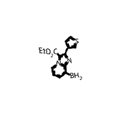 Bc1cccn2c(C(=O)OCC)c(-c3ccsc3)nc12